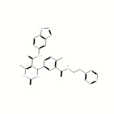 CC1=C(C(=O)Nc2ccc3[nH]ncc3c2)C(c2ccc(F)c(C(=O)NCCc3ccncc3)c2)NC(=O)N1